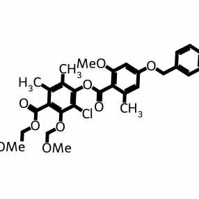 COCOC(=O)c1c(C)c(C)c(OC(=O)c2c(C)cc(OCc3ccccc3)cc2OC)c(Cl)c1OCOC